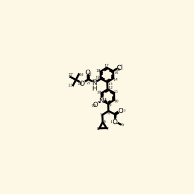 COC(=O)C(CC1CC1)c1ccc(-c2cc(Cl)ccc2NC(=O)OC(C)(C)C)c[n+]1[O-]